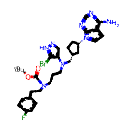 CC(C)(C)OC(=O)N(CCCN(C[C@@H]1CC[C@H](n2ccc3c(N)ncnc32)C1)c1cn[nH]c1Br)CCc1ccc(F)cc1